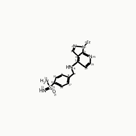 CCn1ncc2c(NCc3ccc(S(=N)(N)=O)cc3)ccnc21